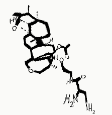 CC(=O)O[C@@H]1C[C@]23COC[C@@](C)([C@@H]2CC[C@H]2C3=CC[C@@]3(C)[C@H](C(=O)O)[C@@](C)([C@H](C)C(C)C)CC[C@]23C)[C@H]1OCCNC(=O)C(N)CN